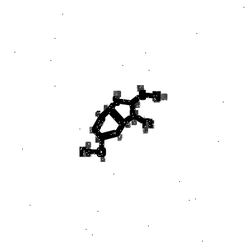 CCOc1ccc2c(c1)N(CC)C(S[N])S2